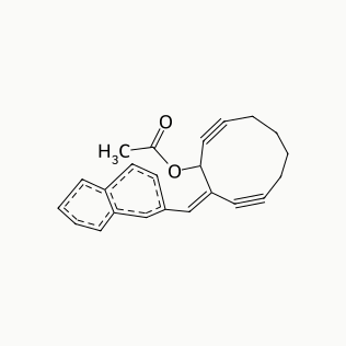 CC(=O)OC1C#CCCCCC#CC1=Cc1ccc2ccccc2c1